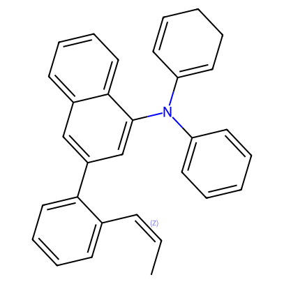 C/C=C\c1ccccc1-c1cc(N(C2=CCCC=C2)c2ccccc2)c2ccccc2c1